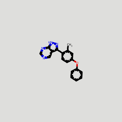 Cc1cc(Oc2ccccc2)ccc1-c1n[nH]c2ncncc12